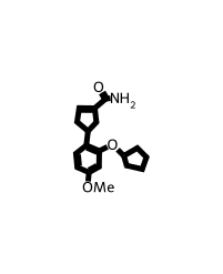 COc1ccc(C2CC=C(C(N)=O)C2)c(OC2CCCC2)c1